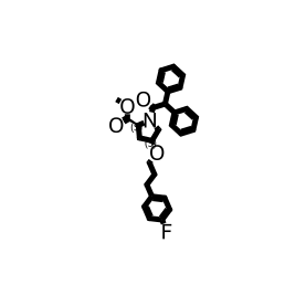 COC(=O)[C@@H]1C[C@H](OCCCc2ccc(F)cc2)CN1C(=O)C(c1ccccc1)c1ccccc1